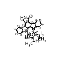 CN[C@@H]1C[C@H]2O[C@@](C)([C@@H]1OC)n1c3ccccc3c3c4c(c5c6ccccc6n2c5c31)CNC4=O